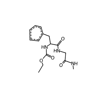 CCOC(=O)NC(Cc1ccccc1)C(=O)NCC(=O)NC